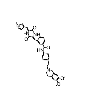 COc1cc2c(cc1OC)CN(CCc1ccc(NC(=O)c3cccc(C=c4[nH]c(=O)c(=Cc5ccn(C)c5)n(C)c4=O)c3)cc1)CC2